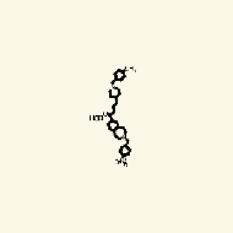 Cc1ccc(CN2CCC(CCCC(=O)c3ccc4c(c3)CCN(Cc3ccc([N+](=O)[O-])cc3)CC4)CC2)cc1.Cl.Cl